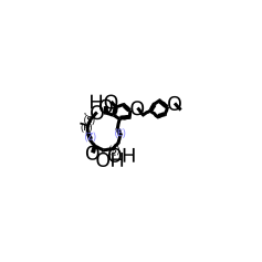 COc1ccc(COc2cc(O)c3c(c2)/C=C/C[C@H](O)C(O)C(=O)/C=C\[C@@H](C)[C@H](C)OC3=O)cc1